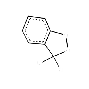 ClC1(Cl)OOc2ccccc21